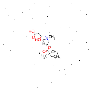 CCC(C)(C)C(=O)OCC[N+](C)(C)CC(O)CC(=O)O